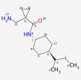 CCC(C)[C@H]1CC[C@H](NC(=O)C2(CN)CC2)CC1